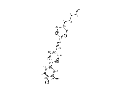 C=CCCC[C@H]1CO[C@H](C#Cc2cnc(-c3ccc(Cl)c(F)c3)nc2)OC1